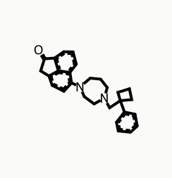 O=C1Cc2ccc(N3CCCN(CC4(c5ccccc5)CCC4)CC3)c3cccc1c23